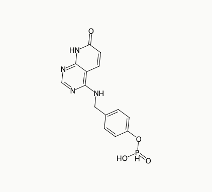 O=c1ccc2c(NCc3ccc(O[PH](=O)O)cc3)ncnc2[nH]1